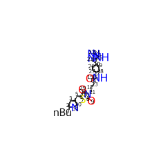 CCCCc1ccc(/C=C2\SC(=O)N(CCCC(=O)Nc3ccc(-c4nnn[nH]4)cc3)C2=O)cn1